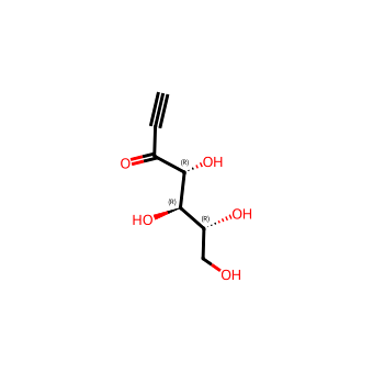 C#CC(=O)[C@H](O)[C@H](O)[C@H](O)CO